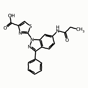 CCC(=O)Nc1ccc2c(-c3ccccc3)nn(-c3nc(C(=O)O)cs3)c2c1